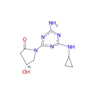 Nc1nc(NC2CC2)nc(N2C[C@H](O)CC2=O)n1